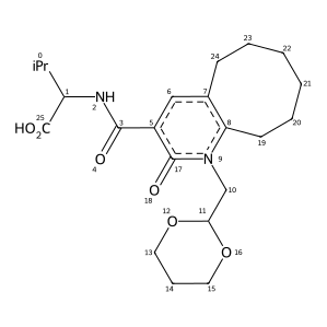 CC(C)C(NC(=O)c1cc2c(n(CC3OCCCO3)c1=O)CCCCCC2)C(=O)O